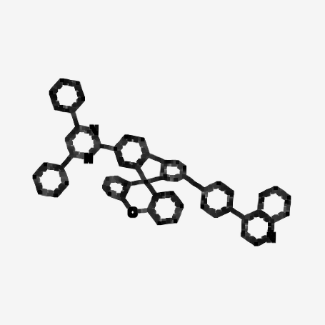 c1ccc(-c2cc(-c3ccccc3)nc(-c3ccc4c(c3)C3(c5ccccc5Oc5ccccc53)c3cc(-c5ccc(-c6ccnc7ccccc67)cc5)ccc3-4)n2)cc1